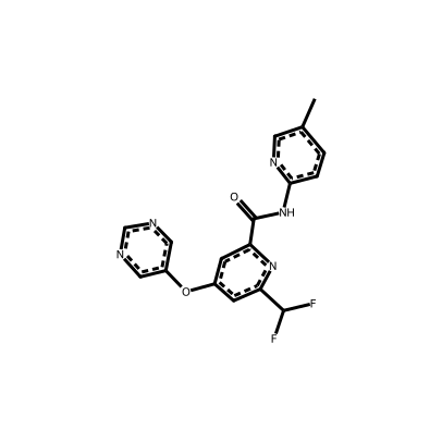 Cc1ccc(NC(=O)c2cc(Oc3cncnc3)cc(C(F)F)n2)nc1